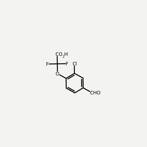 O=Cc1ccc(OC(F)(F)C(=O)O)c(Cl)c1